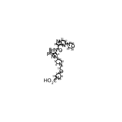 O=C(Nc1cn(C2CCN(CCOC3CCN(C(=O)O)CC3)CC2)nc1C(F)F)c1cnn2ccc(N3CCOCC3)nc12